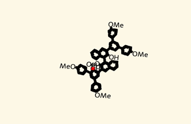 COc1ccc(-c2cc(-c3ccc(OC)cc3)cc(-c3cc4ccccc4c(-c4c(O[PH](=O)O)c(-c5cc(-c6ccc(OC)cc6)cc(-c6ccc(OC)cc6)c5)cc5ccccc45)c3O)c2)cc1